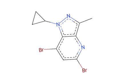 Cc1nn(C2CC2)c2c(Br)cc(Br)nc12